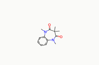 CN1C(=O)C(C)(C)C(=O)N(C)c2ccccc21